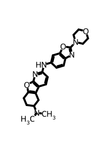 CN(C)C1CCc2oc3nc(Nc4ccc5nc(N6CCOCC6)oc5c4)ccc3c2C1